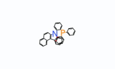 c1ccc(P(c2ccccc2)c2ccccc2-n2c3ccccc3c3c4ccccc4ccc32)cc1